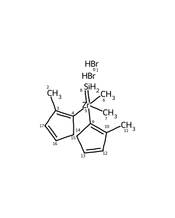 Br.Br.CC1=[C]([Zr]([CH3])([CH3])(=[SiH2])[C]2=C(C)C=CC2)CC=C1